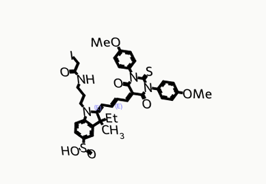 CCC1(C)/C(=C\C=C\C=C2C(=O)N(c3ccc(OC)cc3)C(=S)N(c3ccc(OC)cc3)C2=O)N(CCCNC(=O)CI)c2ccc(S(=O)O)cc21